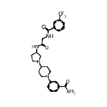 NC(=O)c1cccc(N2CCC(N3CCC(NC(=O)CNC(=O)c4cccc(C(F)(F)F)c4)C3)CC2)c1